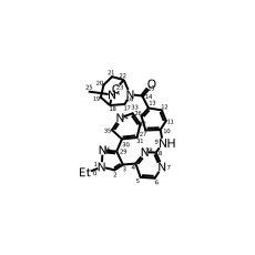 CCn1cc(-c2ccnc(Nc3ccc(C(=O)N4CC5CCCC4CN5C)cc3)n2)c(-c2cccnc2)n1